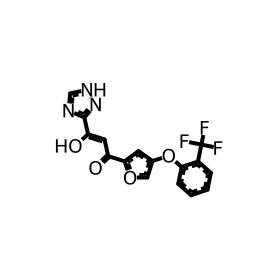 O=C(C=C(O)c1nc[nH]n1)c1cc(Oc2ccccc2C(F)(F)F)co1